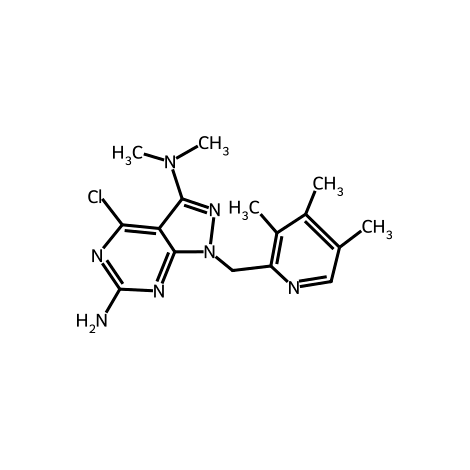 Cc1cnc(Cn2nc(N(C)C)c3c(Cl)nc(N)nc32)c(C)c1C